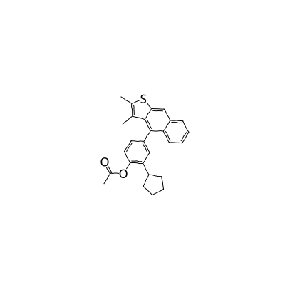 CC(=O)Oc1ccc(-c2c3ccccc3cc3sc(C)c(C)c23)cc1C1CCCC1